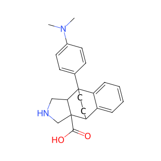 CN(C)c1ccc(C23CCC(c4ccccc42)C2(C(=O)O)CNCC32)cc1